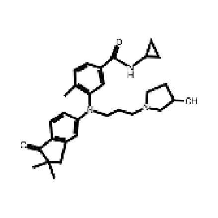 Cc1ccc(C(=O)NC2CC2)cc1N(CCCN1CCC(O)C1)c1ccc2c(c1)CC(C)(C)C2=O